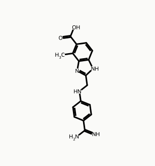 Cc1c(C(=O)O)ccc2[nH]c(CNc3ccc(C(=N)N)cc3)nc12